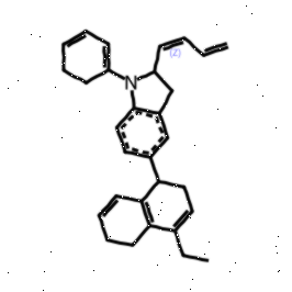 C=C/C=C\C1Cc2cc(C3CC=C(CC)C4=C3C=CCC4)ccc2N1C1=CC=CCC1